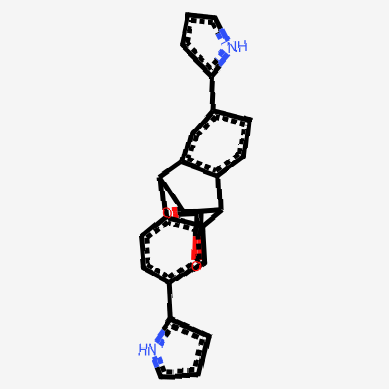 O=C1C(=O)C2c3ccc(-c4ccc[nH]4)cc3C1c1ccc(-c3ccc[nH]3)cc12